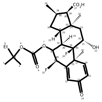 CCC(C)(C)OC(=O)OC1[C@H](F)C2=CC(=O)C=C[C@]2(C)[C@@]2(F)[C@@H](O)C[C@]3(C)[C@H](C(=O)O)[C@H](C)C[C@H]3[C@H]12